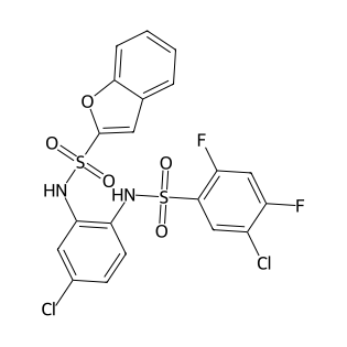 O=S(=O)(Nc1cc(Cl)ccc1NS(=O)(=O)c1cc(Cl)c(F)cc1F)c1cc2ccccc2o1